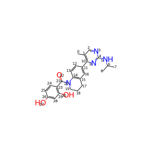 Cc1cnc(NC(C)C)nc1-c1ccc2c(c1)CCCN2C(=O)c1ccc(O)cc1O